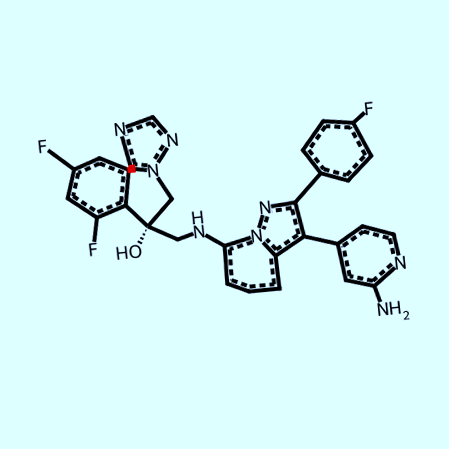 Nc1cc(-c2c(-c3ccc(F)cc3)nn3c(NC[C@](O)(Cn4cncn4)c4ccc(F)cc4F)cccc23)ccn1